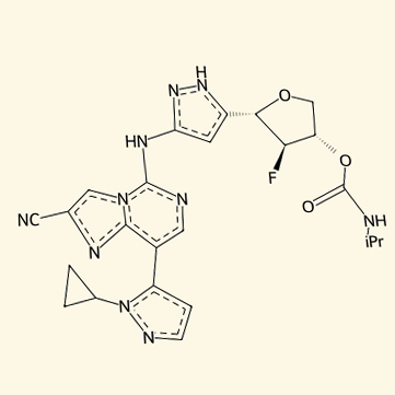 CC(C)NC(=O)O[C@H]1CO[C@@H](c2cc(Nc3ncc(-c4ccnn4C4CC4)c4nc(C#N)cn34)n[nH]2)[C@@H]1F